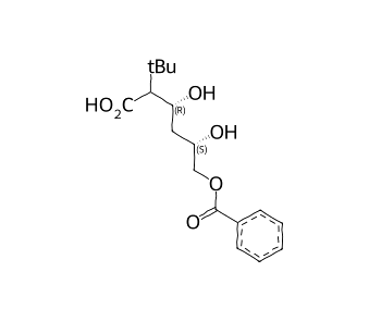 CC(C)(C)C(C(=O)O)[C@H](O)C[C@H](O)COC(=O)c1ccccc1